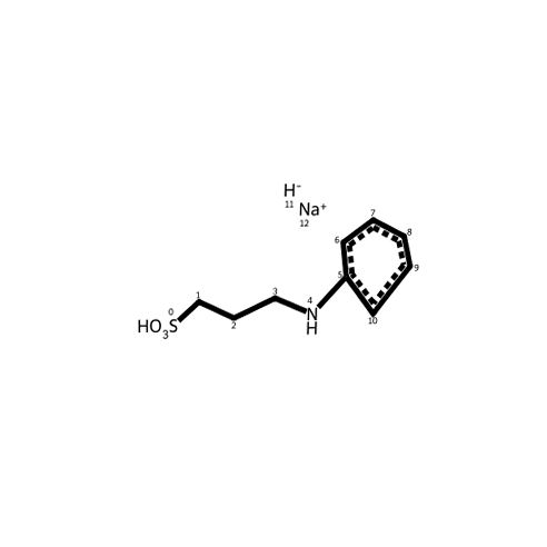 O=S(=O)(O)CCCNc1ccccc1.[H-].[Na+]